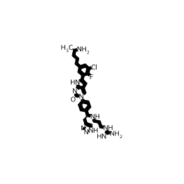 C[C@H](N)CCCc1cc(Cl)c(F)c(-c2cc3cn(-c4ccc([C@H](Cc5c[nH]nn5)NCCCNC(=N)N)cc4)c(=O)nc3[nH]2)c1